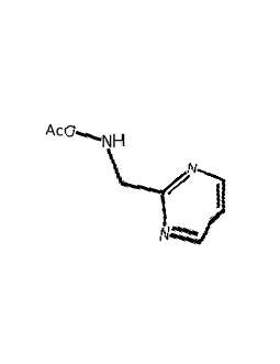 CC(=O)ONCc1ncccn1